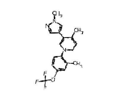 CC1=CCN(c2ccc(OC(F)(F)F)cc2C)C=C1c1cnn(C)c1